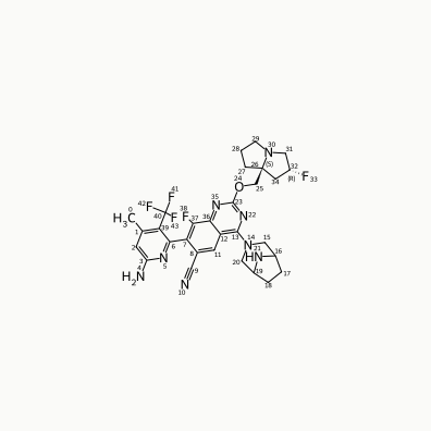 Cc1cc(N)nc(-c2c(C#N)cc3c(N4CC5CCC(C4)N5)nc(OC[C@@]45CCCN4C[C@H](F)C5)nc3c2F)c1C(F)(F)F